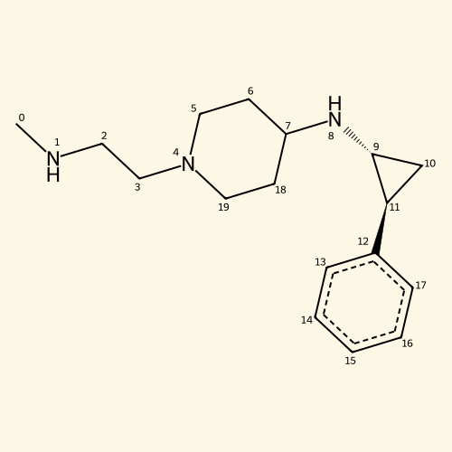 CNCCN1CCC(N[C@@H]2C[C@H]2c2ccccc2)CC1